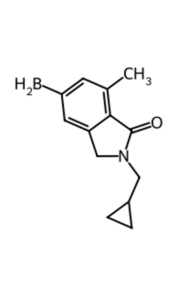 Bc1cc(C)c2c(c1)CN(CC1CC1)C2=O